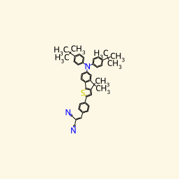 CC(C)(C)c1ccc(N(c2ccc(C(C)(C)C)cc2)c2ccc3c(c2)C(C)(C)c2cc(-c4ccc(C=C(C#N)C#N)cc4)sc2-3)cc1